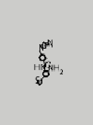 CN(C)[C@@H]1CCN(Cc2ccc(C(=O)Nc3cc(-c4cccs4)ccc3N)cc2)C1